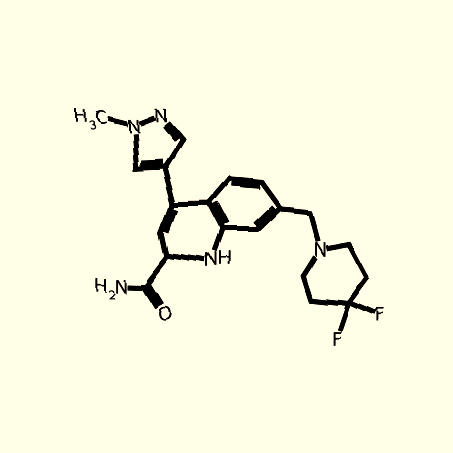 Cn1cc(C2=CC(C(N)=O)Nc3cc(CN4CCC(F)(F)CC4)ccc32)cn1